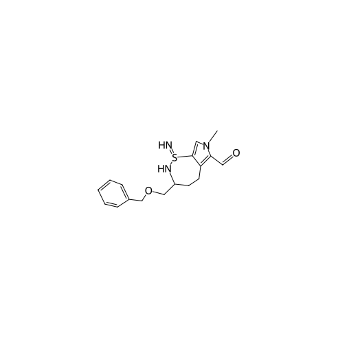 Cn1cc2c(c1C=O)CCC(COCc1ccccc1)NS2=N